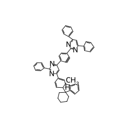 CC12C=C(c3cc(-c4c#cc(-c5nc(-c6ccccc6)cc(-c6ccccc6)n5)cc4)nc(-c4ccccc4)n3)C=C[C@@H]1C1(CCCCC1)c1ccccc12